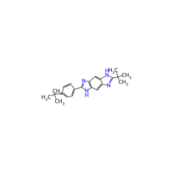 CC(C)(C)c1ccc(-c2nc3cc4[nH]c(C(C)(C)C)nc4cc3[nH]2)cc1